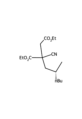 CCCC[C@@H](C)CC(C#N)(CC(=O)OCC)C(=O)OCC